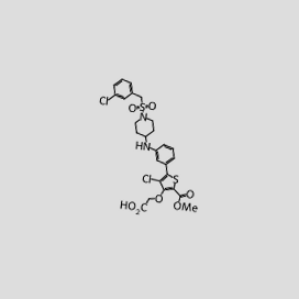 COC(=O)c1sc(-c2cccc(NC3CCN(S(=O)(=O)Cc4cccc(Cl)c4)CC3)c2)c(Cl)c1OCC(=O)O